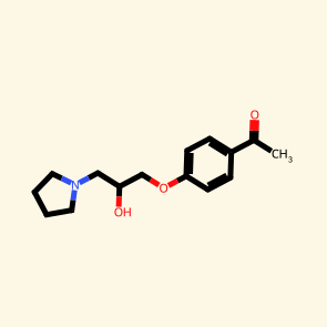 CC(=O)c1ccc(OCC(O)CN2CCCC2)cc1